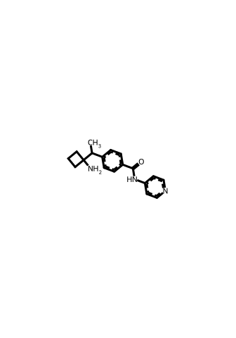 CC(c1ccc(C(=O)Nc2ccncc2)cc1)C1(N)CCC1